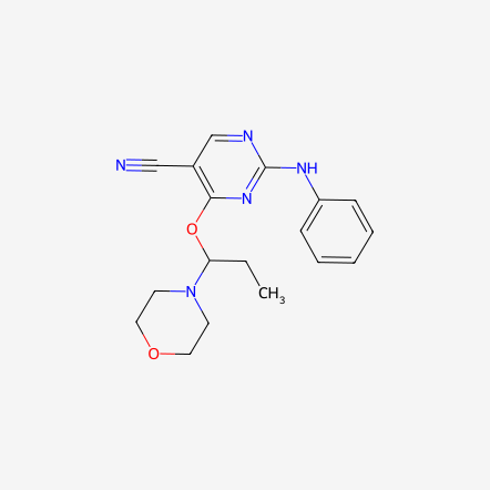 CCC(Oc1nc(Nc2ccccc2)ncc1C#N)N1CCOCC1